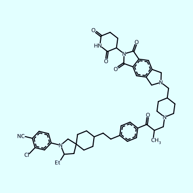 CCC1CC2(CCC(CCc3ccc(C(=O)C(C)CN4CCC(CN5Cc6cc7c(cc6C5)C(=O)N(C5CCC(=O)NC5=O)C7=O)CC4)cc3)CC2)CN1c1ccc(C#N)c(Cl)c1